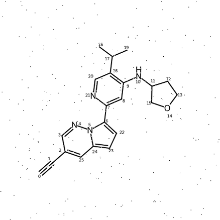 C#Cc1cnn2c(-c3cc(NC4CCOC4)c(C(C)C)cn3)ccc2c1